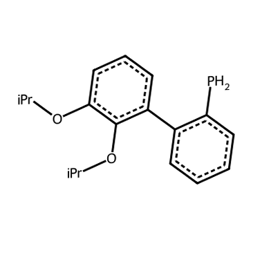 CC(C)Oc1cccc(-c2ccccc2P)c1OC(C)C